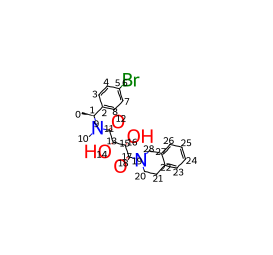 C[C@@H](c1ccc(Br)cc1)N(C)C(=O)[C@@H](O)[C@H](O)C(=O)N1CCc2ccccc2C1